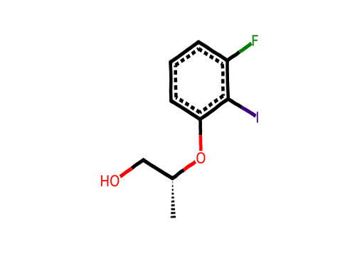 C[C@H](CO)Oc1cccc(F)c1I